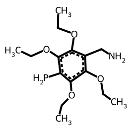 CCOc1c(P)c(OCC)c(OCC)c(CN)c1OCC